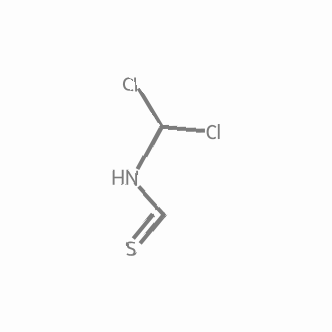 S=CNC(Cl)Cl